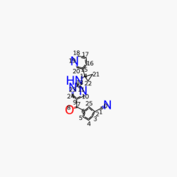 N#Cc1cccc(C(=O)c2cnc(NC3(c4cccnc4)CC3)nc2)c1